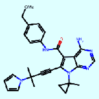 COCc1ccc(NC(=O)c2c(C#CC(C)(C)n3cccc3)n(C3(C)CC3)c3ncnc(N)c23)cc1